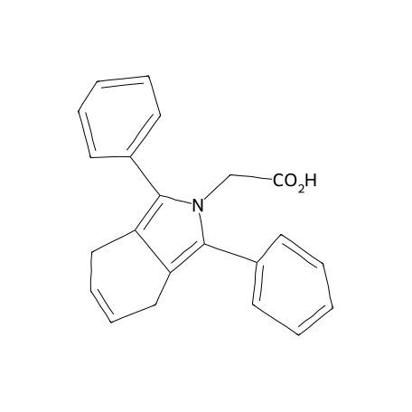 O=C(O)Cn1c(-c2ccccc2)c2c(c1-c1ccccc1)CC=CC2